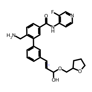 NCc1ccc(C(=O)Nc2ccncc2F)cc1-c1cccc(/C=C/C(O)OCC2CCCO2)c1